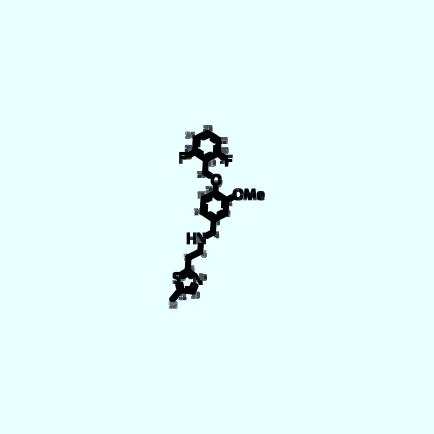 COc1cc(CNCCc2ncc(C)s2)ccc1OCc1c(F)cccc1F